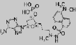 CN(CCC[C@H]1O[C@@H](n2cnc3c(N)ncnc32)C[C@@H]1OP(=O)(O)O)NS(=O)(=O)c1cccc2c(N(C)C)cccc12